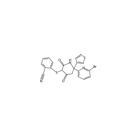 N#Cc1ccccc1SC1C(=O)CC(c2ccsc2)(c2cccc(Br)n2)NC1=O